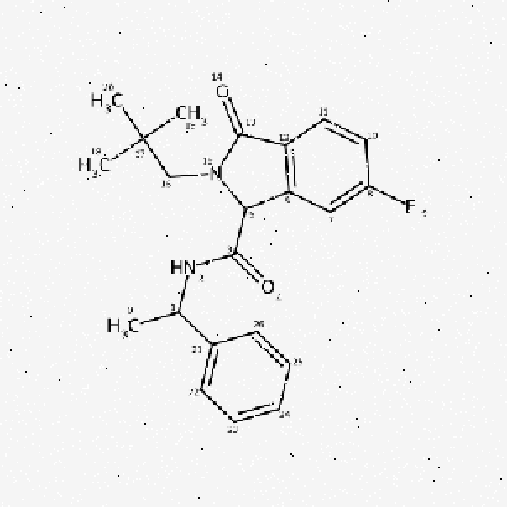 CC(NC(=O)C1c2cc(F)ccc2C(=O)N1CC(C)(C)C)c1ccccc1